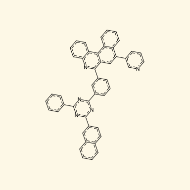 c1ccc(-c2nc(-c3cccc(-c4nc5ccccc5c5c4cc(-c4cccnc4)c4ccccc45)c3)nc(-c3ccc4ccccc4c3)n2)cc1